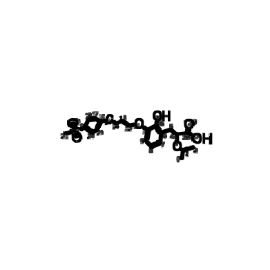 CC(C)OC(Cc1cccc(OCCCOc2ccc(S(C)(=O)=O)cc2)c1O)C(=O)O